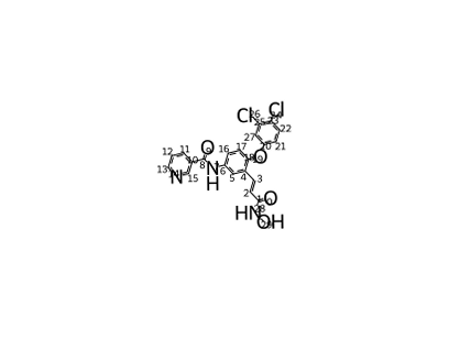 O=C(/C=C/c1cc(NC(=O)c2cccnc2)ccc1Oc1ccc(Cl)c(Cl)c1)NO